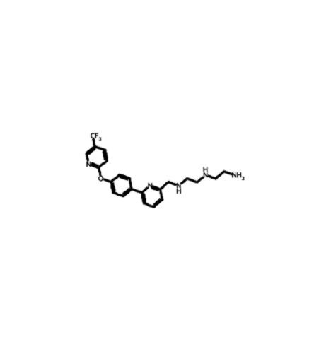 NCCNCCNCc1cccc(-c2ccc(Oc3ccc(C(F)(F)F)cn3)cc2)n1